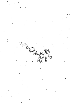 Cc1nc(NCc2ccc(OCC(F)(F)F)nc2)nc2c1NC(=O)CN2C